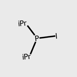 CC(C)P(I)C(C)C